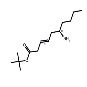 CCCC[C@@H](N)C/C=C/CC(=O)OC(C)(C)C